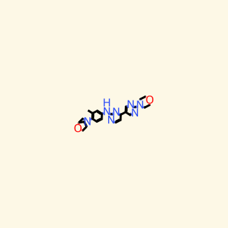 Cc1cc(Nc2nccc(-c3cnc(N4CCOCC4)nc3)n2)ccc1N1CC2CC1CO2